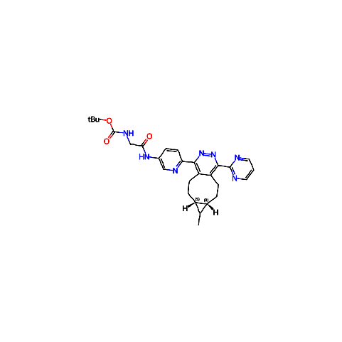 CC1[C@H]2CCc3c(-c4ncccn4)nnc(-c4ccc(NC(=O)CNC(=O)OC(C)(C)C)cn4)c3CC[C@@H]12